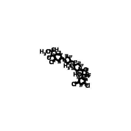 CN(C)C(=O)c1ccc(N2CCC(CC3(C)CCN(C(=O)[C@](O)(c4cc(Cl)cc(Cl)c4)C(F)(F)F)CC3)CC2)cc1Cl